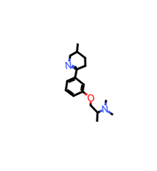 CC1CCC(c2cccc(OCC(C)N(C)C)c2)=NC1